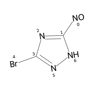 O=Nc1nc(Br)n[nH]1